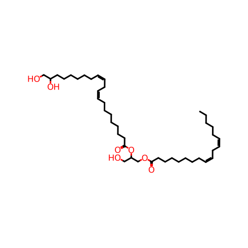 CCCCC/C=C\C/C=C\CCCCCCCC(=O)OCC(CO)OC(=O)CCCCCCC/C=C\C/C=C\CCCCCCC(O)CO